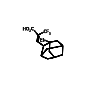 CCC12CC3CC(CC(C3)C1C=C(C(=O)O)C(F)(F)F)C2